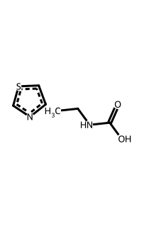 CCNC(=O)O.c1cscn1